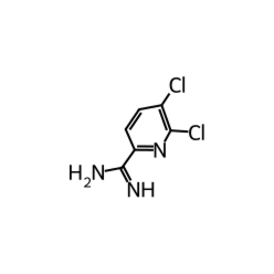 N=C(N)c1ccc(Cl)c(Cl)n1